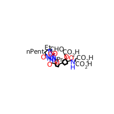 CCCCCC(C(=O)NCNC(=O)c1ccc(-c2ccc(C(=O)NC(CC(=O)O)C(=O)O)c(OCC(=O)O)c2)o1)C(CC)N(C=O)OC(=O)NC(C)C